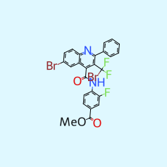 COC(=O)c1ccc(NC(=O)c2c(C(F)(F)Br)c(-c3ccccc3)nc3ccc(Br)cc23)c(F)c1